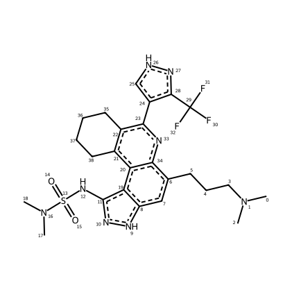 CN(C)CCCc1cc2[nH]nc(NS(=O)(=O)N(C)C)c2c2c3c(c(-c4c[nH]nc4C(F)(F)F)nc12)CCCC3